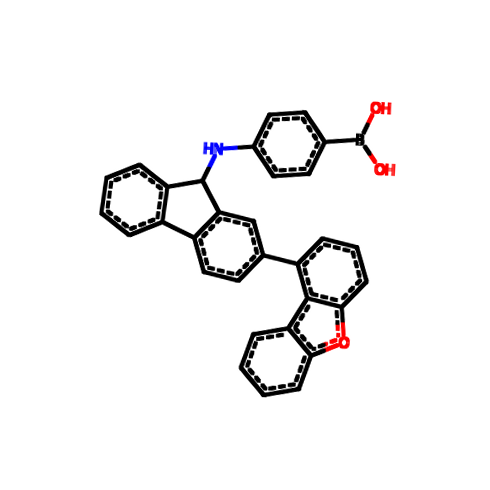 OB(O)c1ccc(NC2c3ccccc3-c3ccc(-c4cccc5oc6ccccc6c45)cc32)cc1